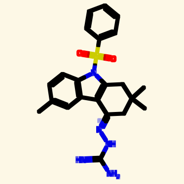 Cc1ccc2c(c1)c1c(n2S(=O)(=O)c2ccccc2)CC(C)(C)C/C1=N\NC(=N)N